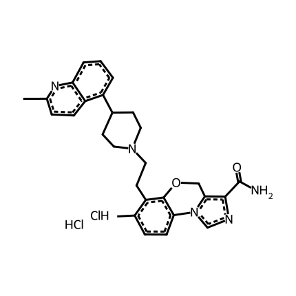 Cc1ccc2c(C3CCN(CCc4c(C)ccc5c4OCc4c(C(N)=O)ncn4-5)CC3)cccc2n1.Cl.Cl